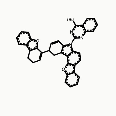 CC(C)(C)c1nc(-n2c3c(c4c5oc6ccccc6c5ccc42)CC(C2=CCCc4c2oc2ccccc42)C=C3)nc2ccccc12